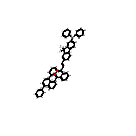 CCC1(CC)c2cc(/C=C/c3ccc(-c4cccc5c(-c6ccccc6)ccc(-c6ccccc6)c45)c4ccccc34)ccc2-c2ccc(N(c3ccccc3)c3ccccc3)cc21